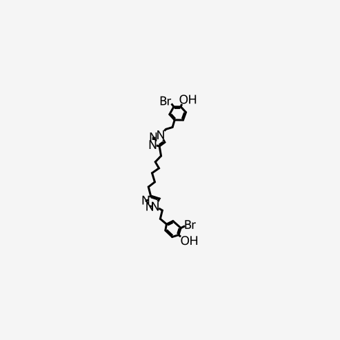 Oc1ccc(CCn2cc(CCCCCCc3cn(CCc4ccc(O)c(Br)c4)nn3)nn2)cc1Br